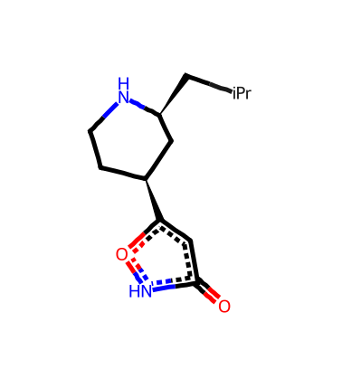 CC(C)C[C@H]1C[C@@H](c2cc(=O)[nH]o2)CCN1